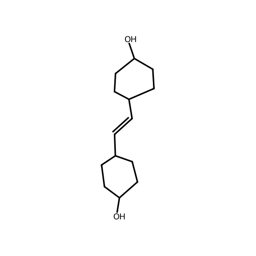 OC1CCC(C=CC2CCC(O)CC2)CC1